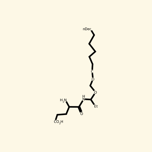 CCCCCCCCCCCCCCCCOCOC(CC)NC(=O)C(N)CCC(=O)O